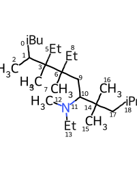 CCC(C)C(C)C(C)(CC)C(C)(CC)CC(N(C)CC)C(C)(C)CC(C)C